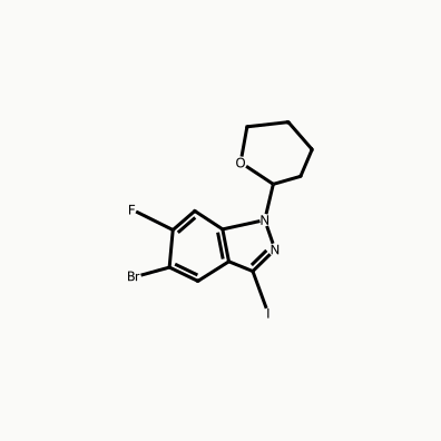 Fc1cc2c(cc1Br)c(I)nn2C1CCCCO1